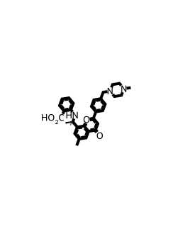 Cc1cc([C@@H](C)Nc2ccccc2C(=O)O)c2oc(-c3ccc(CN4CCN(C)CC4)cc3)cc(=O)c2c1